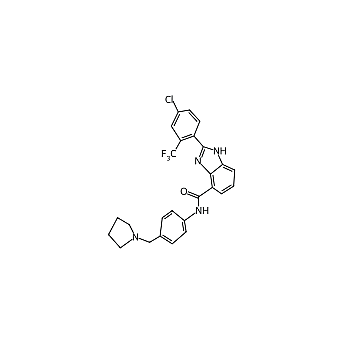 O=C(Nc1ccc(CN2CCCC2)cc1)c1cccc2[nH]c(-c3ccc(Cl)cc3C(F)(F)F)nc12